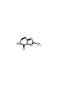 O=c1[nH]ccc2nc(C(F)(F)F)nn12